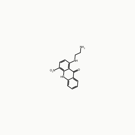 NCCNc1ccc([N+](=O)[O-])c2[nH]c3ccccc3c(=O)c12